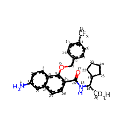 Nc1ccc2c(OCc3ccc(C(F)(F)F)cc3)c(C(=O)NC(C(=O)O)C3CCCC3)ccc2c1